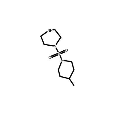 CC1CCN(S(=O)(=O)N2CCNCC2)CC1